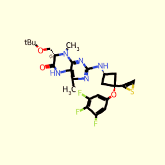 Cc1nc(N[C@H]2C[C@@](Oc3cc(F)c(F)c(F)c3)(C3=CS3)C2)nc2c1NC(=O)[C@H](COC(C)(C)C)N2C